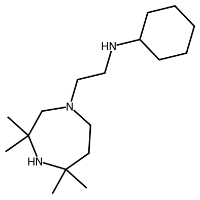 CC1(C)CCN(CCNC2CCCCC2)CC(C)(C)N1